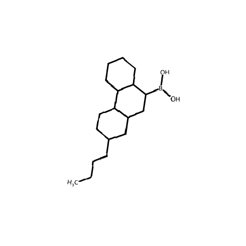 CCCCC1CCC2C(C1)CC(B(O)O)C1CCCCC21